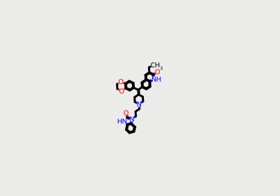 CCc1cc2cc(C(=C3CCN(CCCn4c(=O)[nH]c5ccccc54)CC3)c3ccc4c(c3)OCCO4)ccc2[nH]c1=O